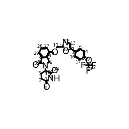 O=C1CCC(N2Cc3c(OCc4ncc(-c5ccc(OC(F)(F)F)cc5)o4)cccc3C2=O)C(=O)N1